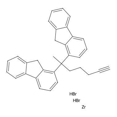 Br.Br.C#CCCCC(C)(c1cccc2c1Cc1ccccc1-2)c1cccc2c1Cc1ccccc1-2.[Zr]